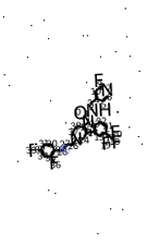 O=C(NCc1ccnc(F)c1)n1c2c(c3cc(C(F)(F)F)ccc31)CN(C/C=C/c1ccc(F)cc1F)CC2